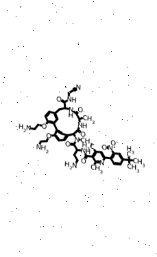 Cc1cc(-c2ccc(C(C)(C)C)cc2[N+](=O)[O-])nc(C)c1C(=O)NC(CCN)C(=O)N(C)C1C(=O)NC(C)C(=O)NC(C(=O)NCC#N)Cc2ccc(OCCN)c(c2)-c2cc1ccc2OCCN